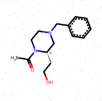 BC(=O)N1CCN(Cc2ccccc2)C[C@@H]1CCO